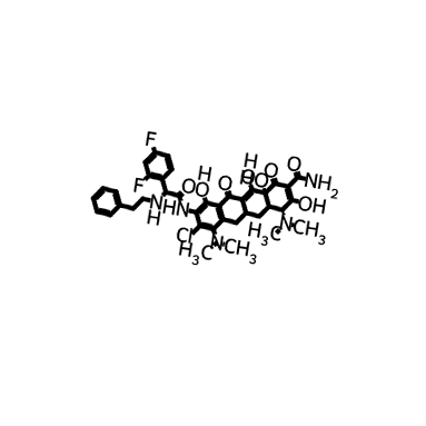 CN(C)c1c(Cl)c(NC(=O)C(NCCc2ccccc2)c2ccc(F)cc2F)c(O)c2c1CC1CC3[C@H](N(C)C)C(O)=C(C(N)=O)C(=O)[C@@]3(O)C(O)=C1C2=O